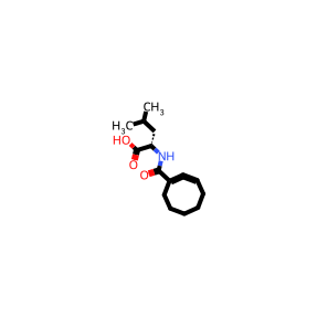 CC(C)C[C@H](NC(=O)C1=C=CCCCCC1)C(=O)O